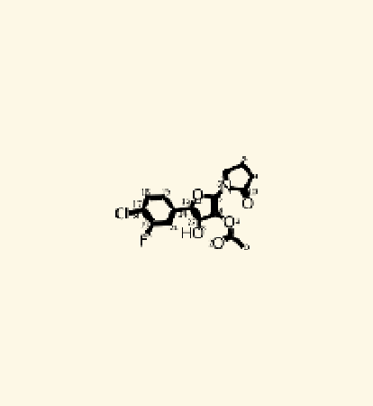 CC(=O)Oc1c(N2CCCC2=O)oc(-c2ccc(Cl)c(F)c2)c1O